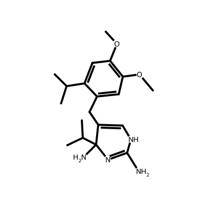 COc1cc(CC2=CNC(N)=NC2(N)C(C)C)c(C(C)C)cc1OC